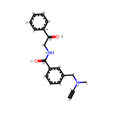 C#CN(C)Cc1cccc(C(=O)NCC(=O)c2ccccc2)c1